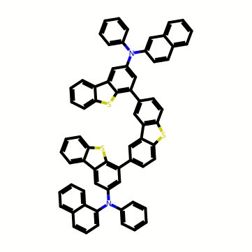 c1ccc(N(c2ccc3ccccc3c2)c2cc(-c3ccc4sc5ccc(-c6cc(N(c7ccccc7)c7cccc8ccccc78)cc7c6sc6ccccc67)cc5c4c3)c3sc4ccccc4c3c2)cc1